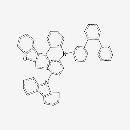 c1ccc(-c2ccccc2-c2cccc(N(c3ccc(-n4c5ccccc5c5ccccc54)cc3)c3ccccc3-c3cccc4oc5ccccc5c34)c2)cc1